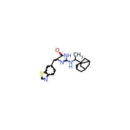 CC(NC1=N/C(=C\c2ccc3ncsc3c2)C(=O)N1)C12CC3CC(CC(C3)C1)C2